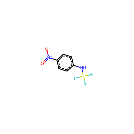 O=[N+]([O-])c1ccc(NS(F)(F)F)cc1